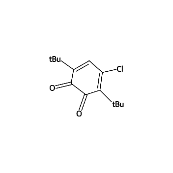 CC(C)(C)C1=CC(Cl)=C(C(C)(C)C)C(=O)C1=O